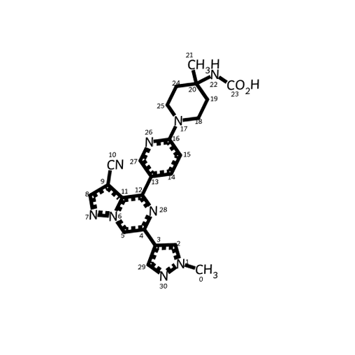 Cn1cc(-c2cn3ncc(C#N)c3c(-c3ccc(N4CCC(C)(NC(=O)O)CC4)nc3)n2)cn1